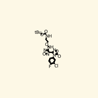 CC(C)(C)OC(=O)NCCONc1nonc1-c1noc(=O)n1-c1ccc(F)c(Cl)c1